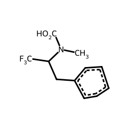 CN(C(=O)O)C(Cc1ccccc1)C(F)(F)F